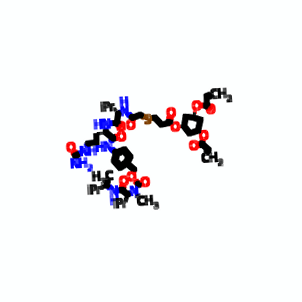 C=CC(=O)O[C@@H]1C[C@H](OC(=O)C=C)C[C@H](OC(=O)CCSCC(=O)N[C@H](C(=O)N[C@@H](CCCNC(N)=O)C(=O)Nc2ccc(COC(=O)N(C)[C@H](C(=O)N[C@H](C)C(C)C)C(C)C)cc2)C(C)C)C1